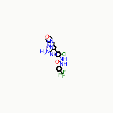 N=C(N)c1c(-c2ccc(NC(=O)Nc3cccc(C(F)(F)F)c3)c(Cl)c2)cc(CN2CCCOCC2)n1NI